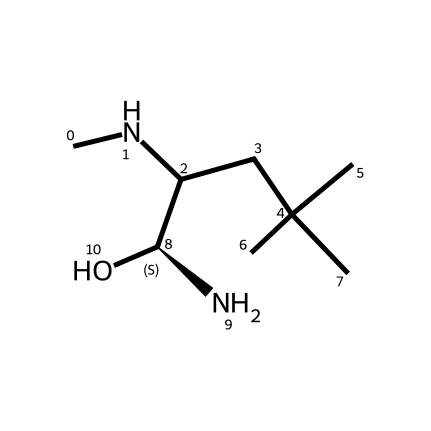 CNC(CC(C)(C)C)[C@@H](N)O